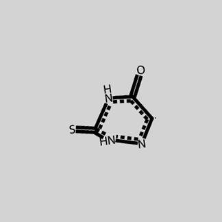 O=c1[c]n[nH]c(=S)[nH]1